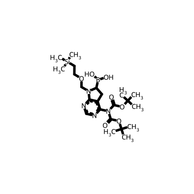 CC(C)(C)OC(=O)N(C(=O)OC(C)(C)C)c1ncnc2c1CC(B(O)O)N2COCC[Si](C)(C)C